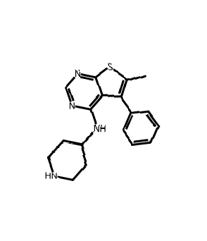 Cc1sc2ncnc(NC3CCNCC3)c2c1-c1ccccc1